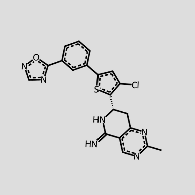 Cc1ncc2c(n1)C[C@@H](c1sc(-c3cccc(-c4ncno4)c3)cc1Cl)NC2=N